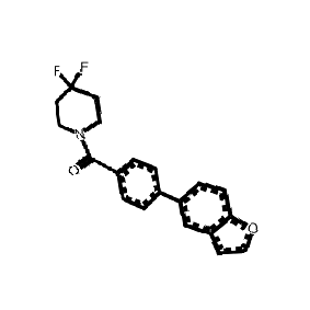 O=C(c1ccc(-c2ccc3occc3c2)cc1)N1CCC(F)(F)CC1